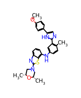 COc1ccc(-c2cnc(-c3cc(Nc4cccc5nc(N6C[C@@H](C)O[C@@H](C)C6)sc45)ccc3C)[nH]2)cc1